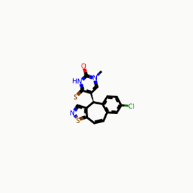 Cn1cc([C@H]2c3ccc(Cl)cc3C=Cc3sncc32)c(=S)[nH]c1=O